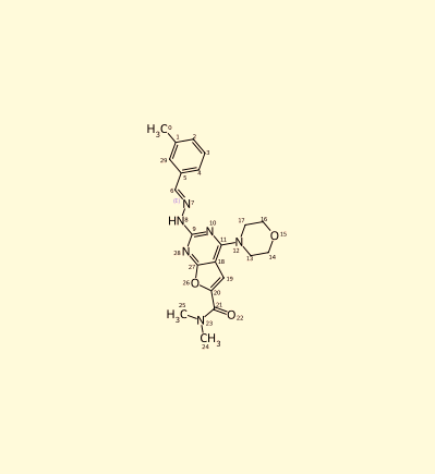 Cc1cccc(/C=N/Nc2nc(N3CCOCC3)c3cc(C(=O)N(C)C)oc3n2)c1